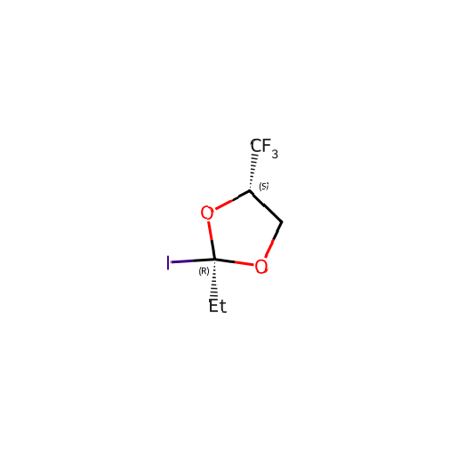 CC[C@@]1(I)OC[C@@H](C(F)(F)F)O1